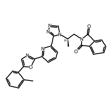 Cc1ccccc1-c1cnc(-c2cccc(-c3nncn3[C@H](C)CN3C(=O)c4ccccc4C3=O)n2)o1